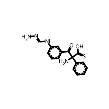 NN=CNc1cccc(C(=O)C(N)(C(O)=S)c2ccccc2)c1